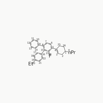 CCCC1CC=C(c2ccc(-c3ccccc3)c(-c3ccc(CC)cc3)c2F)CC1